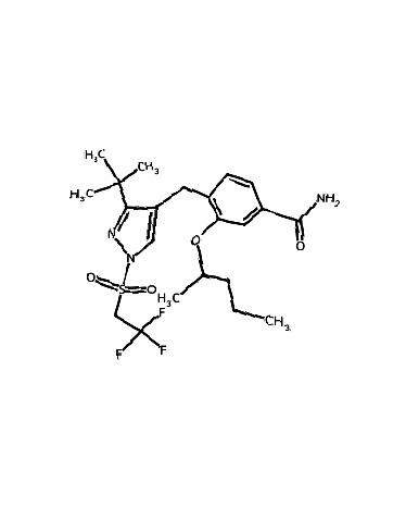 CCCC(C)Oc1cc(C(N)=O)ccc1Cc1cn(S(=O)(=O)CC(F)(F)F)nc1C(C)(C)C